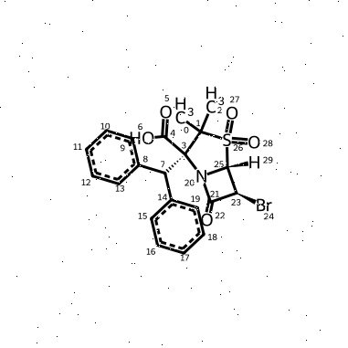 CC1(C)[C@@](C(=O)O)(C(c2ccccc2)c2ccccc2)N2C(=O)[C@H](Br)[C@H]2S1(=O)=O